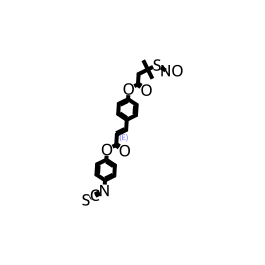 CC(C)(CC(=O)Oc1ccc(/C=C/C(=O)Oc2ccc(N=C=S)cc2)cc1)SN=O